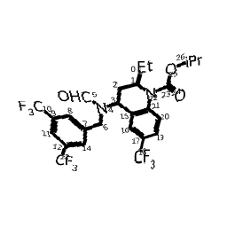 CCC1CC(N(C=O)Cc2cc(C(F)(F)F)cc(C(F)(F)F)c2)c2cc(C(F)(F)F)ccc2N1C(=O)OC(C)C